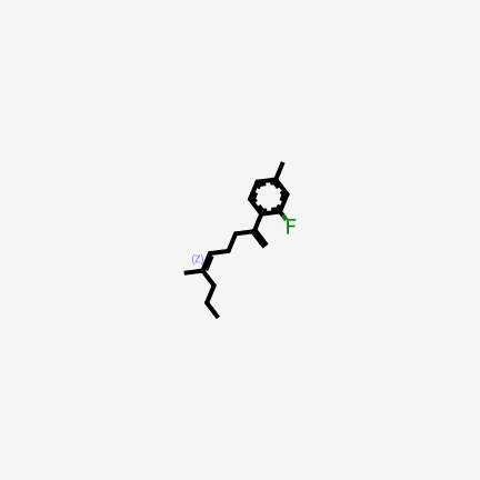 C=C(CC/C=C(/C)CCC)c1ccc(C)cc1F